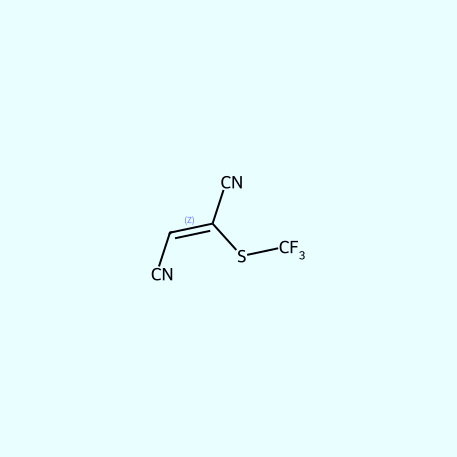 N#C/C=C(/C#N)SC(F)(F)F